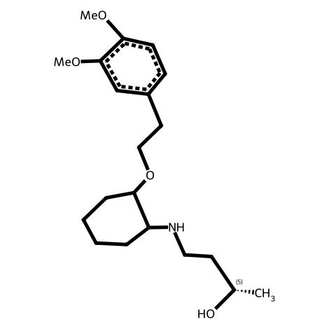 COc1ccc(CCOC2CCCCC2NCC[C@H](C)O)cc1OC